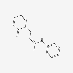 C=C1C=CC=CC1CC=C(C)Nc1ccccc1